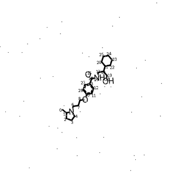 CC1CCCN1CCCOc1ccc(C(=O)NCC(CO)C2CCCCC2)cc1